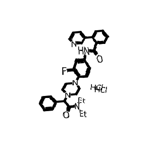 CCN(CC)C(=O)C(c1ccccc1)N1CCN(c2ccc(NC(=O)c3ccccc3-c3cccnc3)cc2F)CC1.Cl.Cl